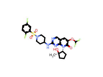 C[C@@]1(O)CCC[C@H]1n1c(=O)c(OC(F)F)cc2cnc(NC3CCN(S(=O)(=O)c4cc(F)ccc4F)CC3)nc21